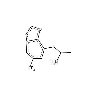 CC(N)Cc1cc(C(F)(F)F)cc2ccoc12